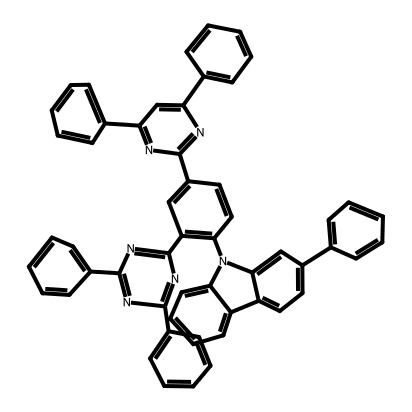 c1ccc(-c2ccc3c4ccccc4n(-c4ccc(-c5nc(-c6ccccc6)cc(-c6ccccc6)n5)cc4-c4nc(-c5ccccc5)nc(-c5ccccc5)n4)c3c2)cc1